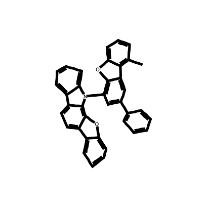 Cc1cccc2oc3c(-n4c5ccccc5c5ccc6c7ccccc7oc6c54)cc(-c4ccccc4)cc3c12